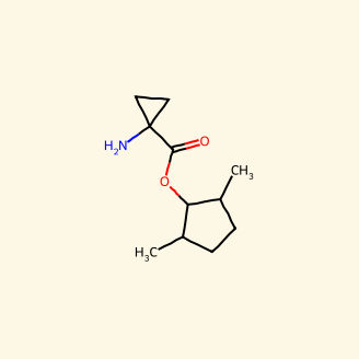 CC1CCC(C)C1OC(=O)C1(N)CC1